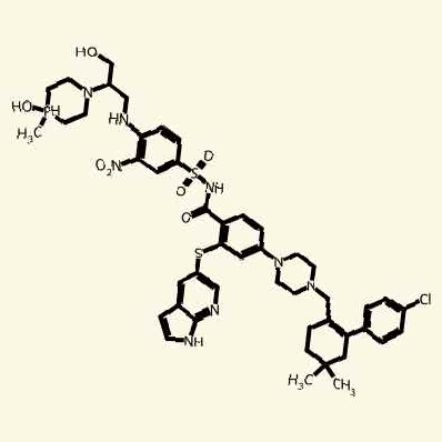 CC1(C)CCC(CN2CCN(c3ccc(C(=O)NS(=O)(=O)c4ccc(NCC(CO)N5CC[PH](C)(O)CC5)c([N+](=O)[O-])c4)c(Sc4cnc5[nH]ccc5c4)c3)CC2)=C(c2ccc(Cl)cc2)C1